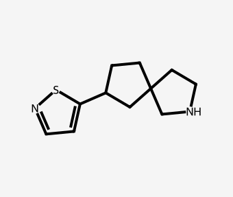 c1cc(C2CCC3(CCNC3)C2)sn1